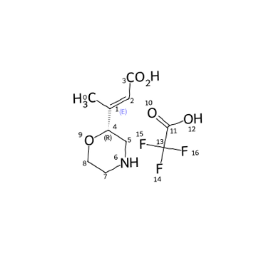 C/C(=C\C(=O)O)[C@@H]1CNCCO1.O=C(O)C(F)(F)F